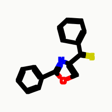 S=C(c1ccccc1)c1coc(-c2ccccc2)n1